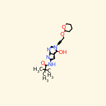 CC(C)(C)C(=O)Nc1cc2c(O)n(C#CCOC3CCCCO3)cnc-2n1